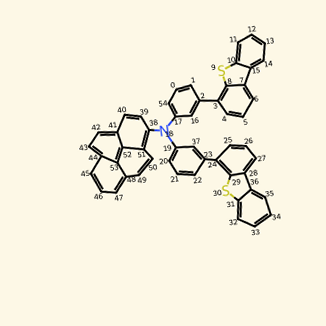 c1cc(-c2cccc3c2sc2ccccc23)cc(N(c2cccc(-c3cccc4c3sc3ccccc34)c2)c2ccc3ccc4cccc5ccc2c3c45)c1